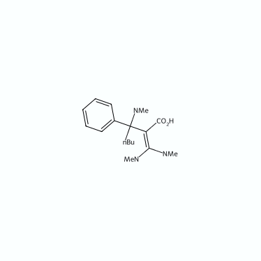 CCCCC(NC)(C(C(=O)O)=C(NC)NC)c1ccccc1